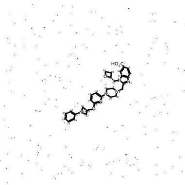 O=C(O)c1ccc2nc(CN3CCN(c4cccc(OC5CN(c6ccccc6)C5)n4)CC3)n(C[C@@H]3CCO3)c2c1